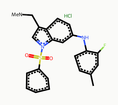 CNCc1cn(S(=O)(=O)c2ccccc2)c2cc(Nc3ccc(C)cc3F)ccc12.Cl